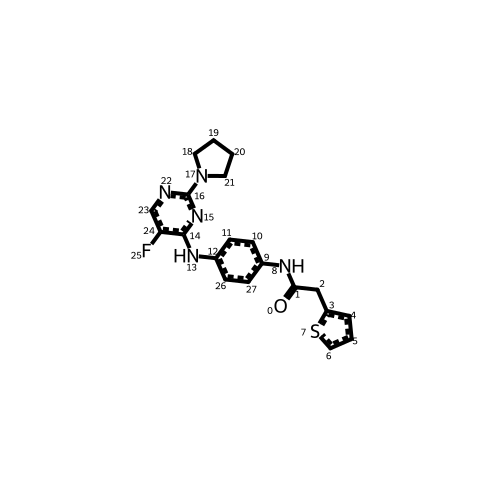 O=C(Cc1cccs1)Nc1ccc(Nc2nc(N3CCCC3)ncc2F)cc1